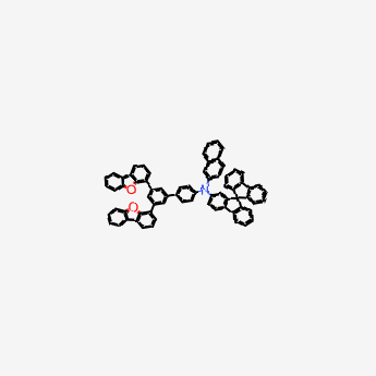 c1ccc2c(c1)-c1ccccc1C21c2ccccc2-c2ccc(N(c3ccc(-c4cc(-c5cccc6c5oc5ccccc56)cc(-c5cccc6c5oc5ccccc56)c4)cc3)c3ccc4ccccc4c3)cc21